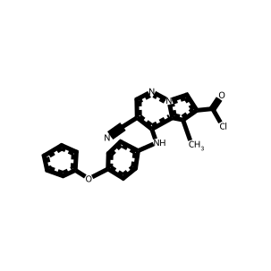 Cc1c(C(=O)Cl)cn2ncc(C#N)c(Nc3ccc(Oc4ccccc4)cc3)c12